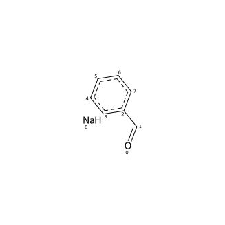 O=Cc1ccccc1.[NaH]